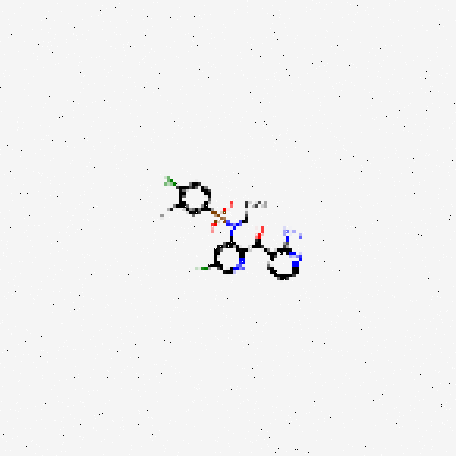 COCN(c1cc(Cl)cnc1C(=O)c1cccnc1N)S(=O)(=O)c1ccc(Cl)c(C(F)(F)F)c1